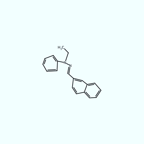 CCN(N=Cc1ccc2ccccc2c1)c1ccccc1